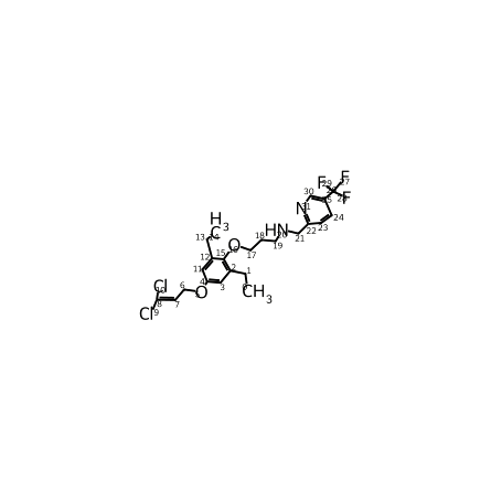 CCc1cc(OCC=C(Cl)Cl)cc(CC)c1OCCCNCc1ccc(C(F)(F)F)cn1